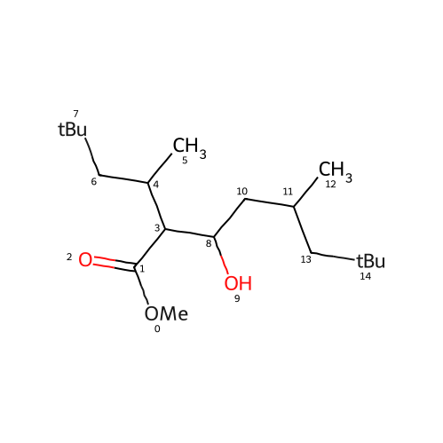 COC(=O)C(C(C)CC(C)(C)C)C(O)CC(C)CC(C)(C)C